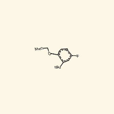 COCOc1ccc(F)cc1C(C)(C)C